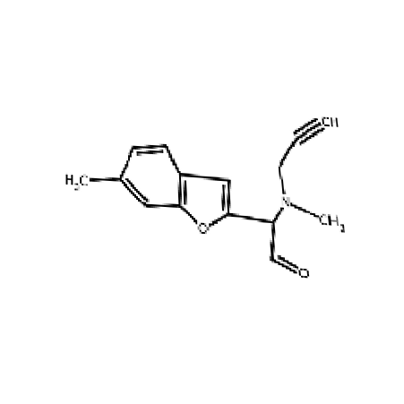 C#CCN(C)C(C=O)c1cc2ccc(C)cc2o1